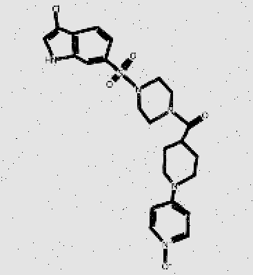 O=C(C1CCN(c2cc[n+]([O-])cc2)CC1)N1CCN(S(=O)(=O)c2ccc3c(Cl)c[nH]c3c2)CC1